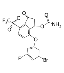 NC(=O)OC1CC(=O)c2c(S(=O)(=O)C(F)(F)F)ccc(Oc3cc(F)cc(Br)c3)c21